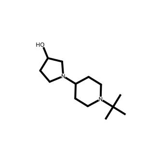 CC(C)(C)N1CCC(N2CCC(O)C2)CC1